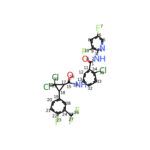 O=C(Nc1ncc(F)cc1F)c1cc(NC(=O)C2C(c3ccc(F)c(C(F)F)c3)C2(Cl)Cl)ccc1Cl